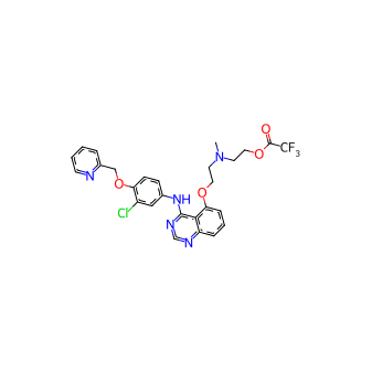 CN(CCOC(=O)C(F)(F)F)CCOc1cccc2ncnc(Nc3ccc(OCc4ccccn4)c(Cl)c3)c12